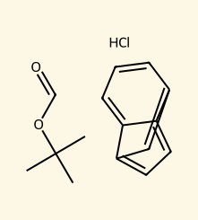 C1=C2C=c3cccc2c3=C1.CC(C)(C)OC=O.Cl